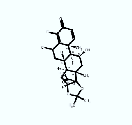 CC(=O)[C@@]12OC(C)(C)O[C@@H]1C[C@H]1[C@@H]3CC(Cl)C4=C(F)C(=O)C=C[C@]4(C)[C@@]3(F)[C@@H](O)C[C@@]12C